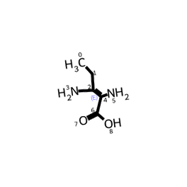 CC/C(N)=C(\N)C(=O)O